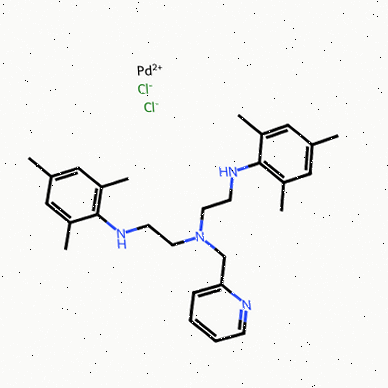 Cc1cc(C)c(NCCN(CCNc2c(C)cc(C)cc2C)Cc2ccccn2)c(C)c1.[Cl-].[Cl-].[Pd+2]